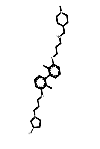 Cc1c(OCCCNCC2CCN(C)CC2)cccc1-c1cccc(OCCCN2CC[C@@H](O)C2)c1C